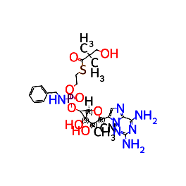 CC(C)(CO)C(=O)SCCOP(=O)(NCc1ccccc1)OC1[C@H]2O[C@@](C#N)(c3cnc4c(N)nc(N)nn34)[C@](C)(O)[C@@]12O